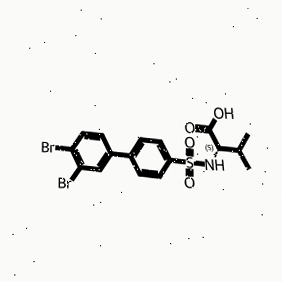 CC(C)[C@H](NS(=O)(=O)c1ccc(-c2ccc(Br)c(Br)c2)cc1)C(=O)O